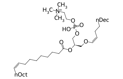 CCCCCCCC/C=C\CCCCCCCC(=O)O[C@H](CO/C=C\CCCCCCCCCCCC)COP(=O)(O)OCC[N+](C)(C)C